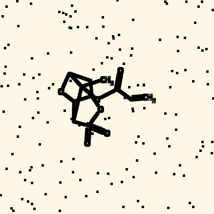 C=CC(=O)OC1(C)C2CC3OS(=O)(=O)C1C3O2